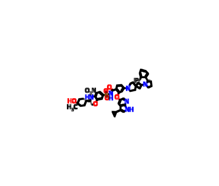 CC(C)c1ccccc1[C@H]1CCCN1C1CC2(CCN(c3ccc(C(=O)NS(=O)(=O)c4cc5c(c([N+](=O)[O-])c4)N[C@@H]([C@H]4CC[C@](C)(O)CC4)CO5)c(Oc4cnc5[nH]cc(C6CC6)c5c4)c3)CC2)C1